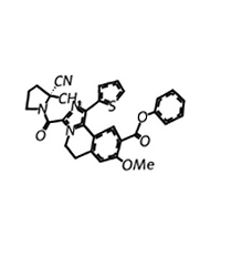 COc1cc2c(cc1C(=O)Oc1ccccc1)-c1c(-c3cccs3)nc(C(=O)N3CCC[C@]3(C)C#N)n1CC2